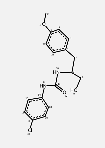 COc1ccc(CC(CO)NC(=O)Nc2ccc(Cl)cc2)cc1